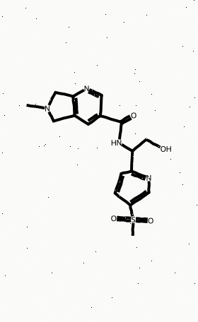 CN1Cc2cc(C(=O)NC(CO)c3ccc(S(C)(=O)=O)cn3)cnc2C1